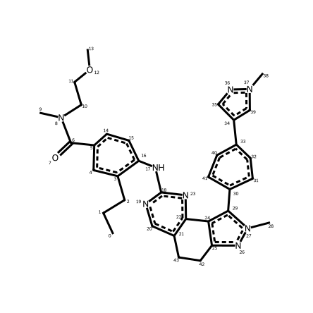 CCCc1cc(C(=O)N(C)CCOC)ccc1Nc1ncc2c(n1)-c1c(nn(C)c1-c1ccc(-c3cnn(C)c3)cc1)CC2